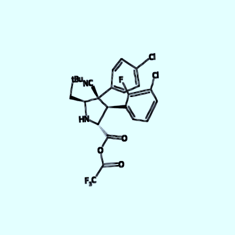 CC(C)(C)C[C@@H]1N[C@@H](C(=O)OC(=O)C(F)(F)F)[C@H](c2cccc(Cl)c2F)[C@@]1(C#N)c1ccc(Cl)cc1